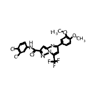 COc1ccc(-c2cc(C(F)(F)F)n3nc(C(=O)Nc4ccc(Cl)c(Cl)c4)cc3n2)cc1OC